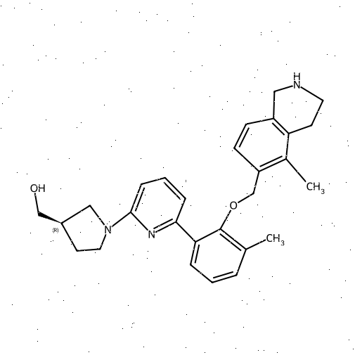 Cc1cccc(-c2cccc(N3CC[C@@H](CO)C3)n2)c1OCc1ccc2c(c1C)CCNC2